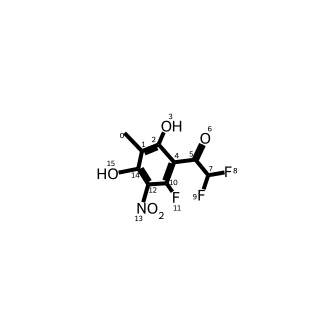 Cc1c(O)c(C(=O)C(F)F)c(F)c([N+](=O)[O-])c1O